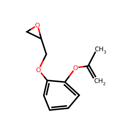 C=C(C)Oc1ccccc1OCC1CO1